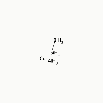 [AlH3].[Cu].[SiH3][BiH2]